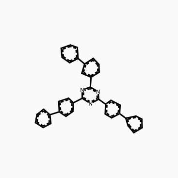 c1ccc(-c2ccc(-c3nc(-c4ccc(-c5ccccc5)cc4)nc(-c4cccc(-c5ccccc5)c4)n3)cc2)cc1